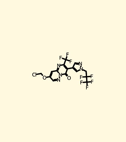 O=c1c(-c2cnn(CC(F)(F)C(F)(F)F)c2)c(C(F)(F)F)nc2cc(OCCl)cnn12